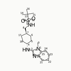 Cn1c(N[C@H]2CC[C@H](CNS(=O)(=O)C(C)(C)C)CC2)nc2ccccc21